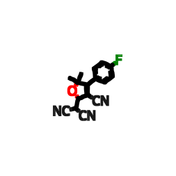 CC1(C)OC(C(C#N)C#N)C(C#N)=C1c1ccc(F)cc1